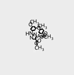 CCOC(=O)c1cnc(Nc2cc(OC)cc(OC)c2)nc1[AsH]c1ccccc1S(C)(=O)=O